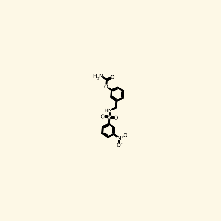 NC(=O)Oc1cccc(CNS(=O)(=O)c2cccc([N+](=O)[O-])c2)c1